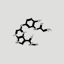 C=CC(=O)Nc1cc(Oc2cnc3[nH]cc(C(=O)NC(C)C)c3n2)ccc1Cl